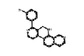 Brc1cccc(-c2nccc3c2CNc2c-3ccc3ccncc23)c1